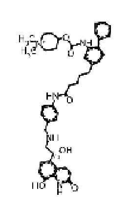 C[N+]1(C)CCC(OC(=O)Nc2cc(CCCCC(=O)Nc3ccc(CNC[C@H](O)c4ccc(O)c5[nH]c(=O)ccc45)cc3)ccc2-c2ccccc2)CC1